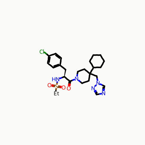 CCS(=O)(=O)N[C@@H](Cc1ccc(Cl)cc1)C(=O)N1CCC(Cn2cncn2)(C2CCCCC2)CC1